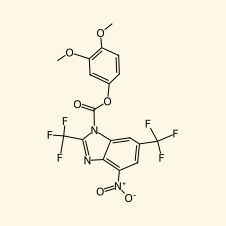 COc1ccc(OC(=O)n2c(C(F)(F)F)nc3c([N+](=O)[O-])cc(C(F)(F)F)cc32)cc1OC